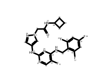 O=C(Cn1cc(Nc2ncc(F)c(NCc3c(F)cc(F)cc3F)n2)cn1)NC1CCC1